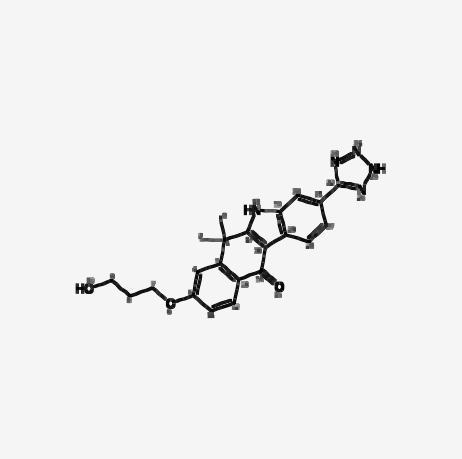 CC1(C)c2cc(OCCCO)ccc2C(=O)c2c1[nH]c1cc(-c3nn[nH]n3)ccc21